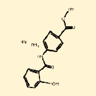 Br.CCCCCCCCc1ccccc1C(=O)Nc1ccc(C(=O)OCCC)cc1.N